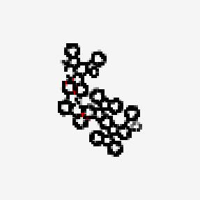 CC1(C)c2cc(N(c3ccc4c(c3)C3(c5ccccc5-c5ccccc53)c3cc5c(cc3-4)C3(c4ccccc4-c4ccccc43)c3ccc4oc6ccccc6c4c3-5)c3c(-c4ccccc4)cccc3-c3ccccc3)ccc2-c2c1c1c(c3c2oc2ccccc23)-c2ccccc2C1(C)C